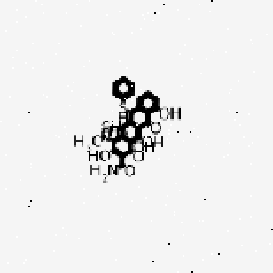 CN(C)[C@@H]1C(O)=C(C(N)=O)C(=O)[C@@]2(O)C(O)=C3C(=O)c4c(O)cccc4[C@H](Sc4ccccc4)[C@H]3C[C@@H]12